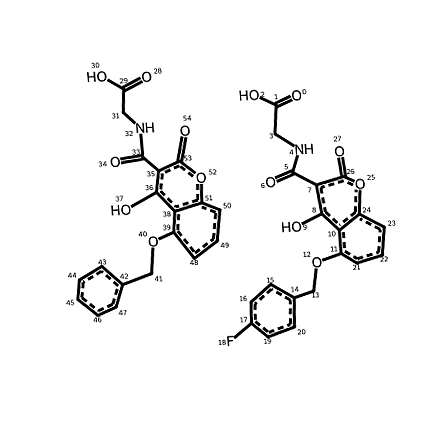 O=C(O)CNC(=O)c1c(O)c2c(OCc3ccc(F)cc3)cccc2oc1=O.O=C(O)CNC(=O)c1c(O)c2c(OCc3ccccc3)cccc2oc1=O